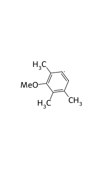 COc1c(C)[c]cc(C)c1C